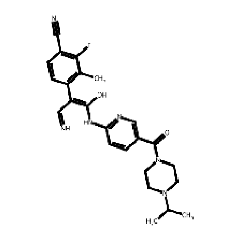 Cc1c(/C(C=N)=C(\O)Nc2ccc(C(=O)N3CCN(C(C)C)CC3)cn2)ccc(C#N)c1F